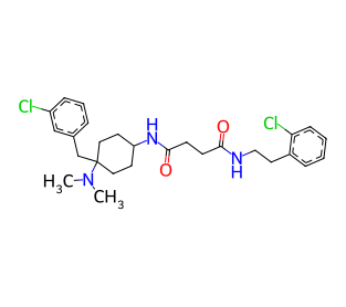 CN(C)C1(Cc2cccc(Cl)c2)CCC(NC(=O)CCC(=O)NCCc2ccccc2Cl)CC1